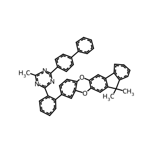 Cc1nc(-c2ccc(-c3ccccc3)cc2)nc(-c2ccccc2-c2ccc3c(c2)Oc2cc4c(cc2O3)-c2ccccc2C4(C)C)n1